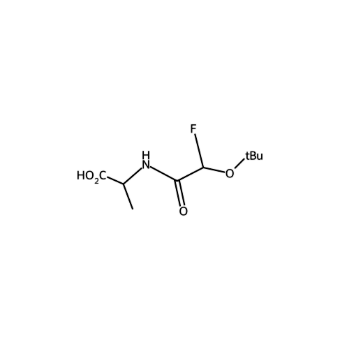 CC(NC(=O)C(F)OC(C)(C)C)C(=O)O